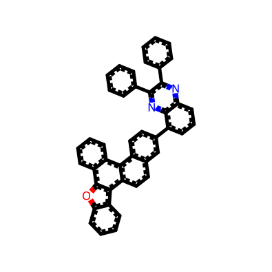 c1ccc(-c2nc3cccc(-c4ccc5c(ccc6c5c5ccccc5c5oc7ccccc7c65)c4)c3nc2-c2ccccc2)cc1